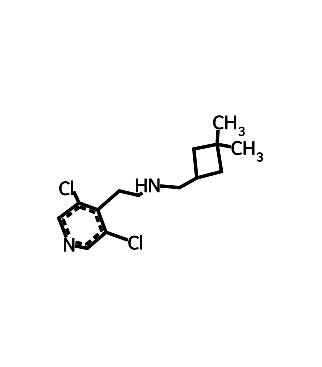 CC1(C)CC(CNCCc2c(Cl)cncc2Cl)C1